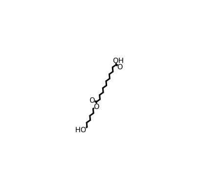 O=C(O)CCCCCCCCCCC(=O)OCCCCCCO